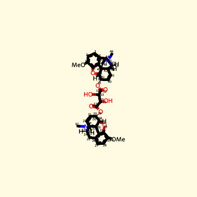 COc1ccc2c3c1O[C@H]1[C@@H](OC(=O)C(O)C(O)C(=O)O[C@H]4C=C[C@H]5[C@H]6Cc7ccc(OC)c8c7[C@@]5(CCN6C)[C@H]4O8)C=C[C@H]4[C@@H](C2)N(C)CC[C@@]341